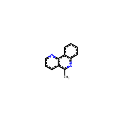 [CH2]c1nc2ccccc2c2ncccc12